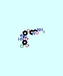 COc1cc(OC)c(Nc2nc3cc(Oc4ccnc(CC(N)=O)c4)ccc3n2C)cc1Cl